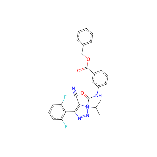 CC(C)[N+]1(C(=O)Nc2cccc(C(=O)OCc3ccccc3)c2)N=NC(c2c(F)cccc2F)=C1C#N